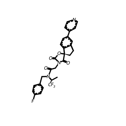 C[C@H](N(Cc1ccc(F)cc1)C(=O)CN1C(=O)O[C@@]2(CCc3cc(-c4ccncc4)ccc32)C1=O)C(F)(F)F